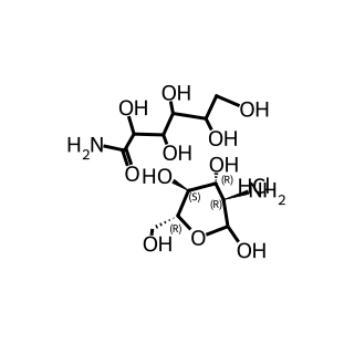 Cl.NC(=O)C(O)C(O)C(O)C(O)CO.N[C@H]1C(O)O[C@H](CO)[C@@H](O)[C@@H]1O